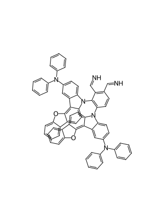 N=Cc1ccc(-n2c3ccc(N(c4ccccc4)c4ccccc4)cc3c3c4oc5ccccc5c4ccc32)c(-n2c3ccc(N(c4ccccc4)c4ccccc4)cc3c3c4oc5ccccc5c4ccc32)c1C=N